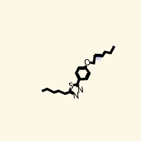 CCC/C=C/COc1ccc(-c2nnc(CCCCC)s2)cc1